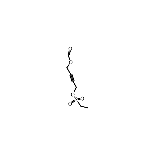 CCS(=O)(=O)OCC#CCOC=O